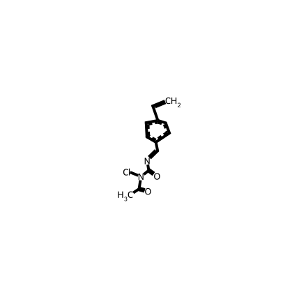 C=Cc1ccc(C=NC(=O)N(Cl)C(C)=O)cc1